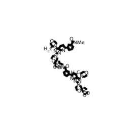 CNC(=O)c1cccc(-c2ccc3c(N4CCOC[C@@H]4C)nc(N4CCO[C@@]5(CC(CNC(=O)c6cccc(-c7ccc8c(N9CCOC[C@@H]9C)nc(N9CCO[C@]%10(CCS(=O)(=O)C%10)C9)nc8n7)c6)S(=O)(=O)C5)C4)nc3n2)c1